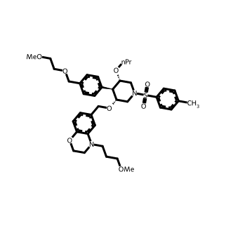 [CH2]CCO[C@@H]1CN(S(=O)(=O)c2ccc(C)cc2)C[C@H](OCc2ccc3c(c2)N(CCCOC)CCO3)[C@H]1c1ccc(COCCOC)cc1